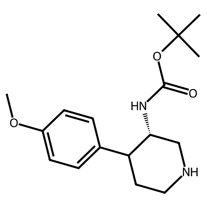 COc1ccc(C2CCNC[C@H]2NC(=O)OC(C)(C)C)cc1